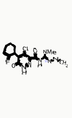 C=N/N=C(\NC)NC(=O)c1n[nH]c(=O)c(C2CCCCC2F)c1Cl